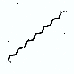 CNCCCCCCCCCCCCC#N